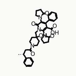 C[C@H](CC(=O)N1CCC(O)(Cn2c(N3CCCC3=O)c(C(=O)O)c(-c3ccccc3)c(N3CCCC3=O)c2=O)CC1)c1ccccc1